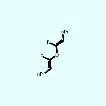 CCC/C=C(\F)O/C(F)=C/CCC